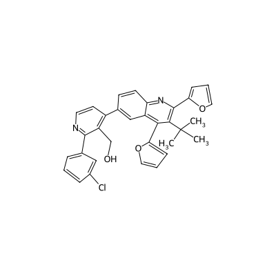 CC(C)(C)c1c(-c2ccco2)nc2ccc(-c3ccnc(-c4cccc(Cl)c4)c3CO)cc2c1-c1ccco1